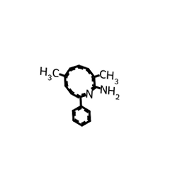 Cc1cccc(C)c(N)nc(-c2ccccc2)cc1